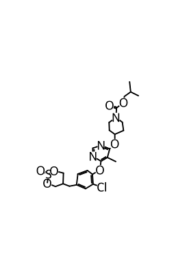 Cc1c(Oc2ccc(CC3COS(=O)OC3)cc2Cl)ncnc1OC1CCN(C(=O)OCC(C)C)CC1